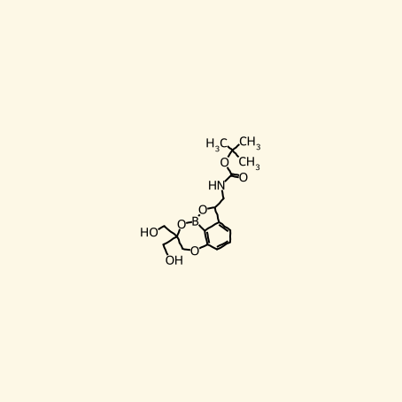 CC(C)(C)OC(=O)NCC1OB2OC(CO)(CO)COc3cccc1c32